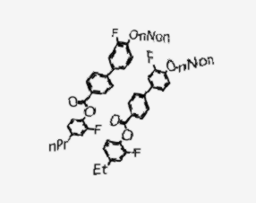 CCCCCCCCCOc1ccc(-c2ccc(C(=O)Oc3ccc(CC)cc3F)cc2)cc1F.CCCCCCCCCOc1ccc(-c2ccc(C(=O)Oc3ccc(CCC)cc3F)cc2)cc1F